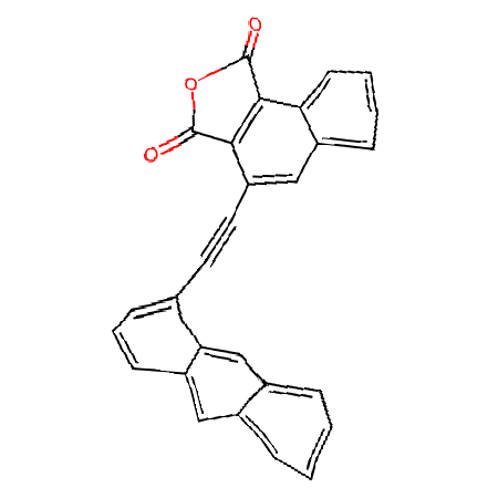 O=C1OC(=O)c2c1c(C#Cc1cccc3cc4ccccc4cc13)cc1ccccc21